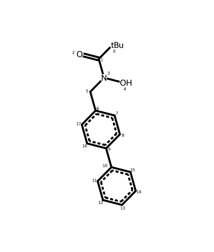 CC(C)(C)C(=O)N(O)Cc1ccc(-c2ccccc2)cc1